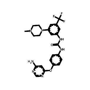 CN1CCN(c2cc(NC(=O)Nc3ccc(Oc4cc(N)ncn4)cc3)cc(C(F)(F)F)c2)CC1